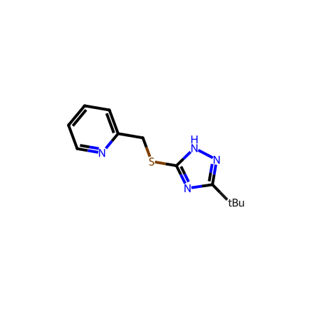 CC(C)(C)c1n[nH]c(SCc2ccccn2)n1